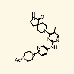 CC(=O)N1CCN(c2ccc(Nc3ncc(C)c(N4CCC5(CCNC5=O)CC4)n3)cn2)CC1